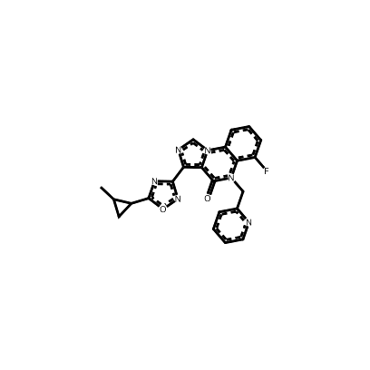 CC1CC1c1nc(-c2ncn3c2c(=O)n(Cc2ccccn2)c2c(F)cccc23)no1